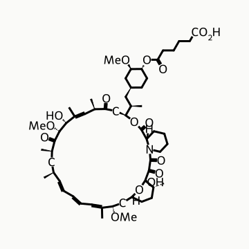 CO[C@H]1C[C@@H]2CC[C@@H](C)[C@@](O)(O2)C(=O)C(=O)N2CCCC[C@H]2C(=O)O[C@H]([C@H](C)C[C@@H]2CC[C@@H](OC(=O)CCCCC(=O)O)[C@H](OC)C2)CC(=O)[C@H](C)/C=C(\C)[C@@H](O)[C@@H](OC)C(=O)[C@H](C)C[C@H](C)/C=C/C=C/C=C/1C